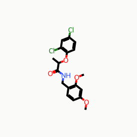 COc1ccc(CNC(=O)C(C)Oc2ccc(Cl)cc2Cl)c(OC)c1